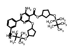 CC(C)(C)[Si](C)(C)OC1CCC(OC(=O)c2c(N)nc(-c3cccc(C#N)c3)nc2OC2CCC(O[Si](C)(C)C(C)(C)C)C2)C1